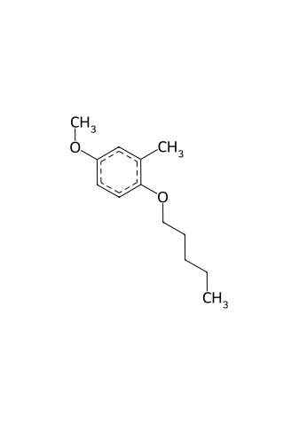 CCCCCOc1ccc(OC)cc1C